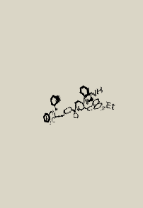 CCOC(=O)C1CN(C(=O)OCC(C)N(Cc2ccccc2)Cc2ccccc2)CC[C@@H]1n1c(=O)[nH]c2ccccc21